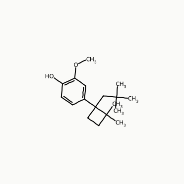 COc1cc(C2(CC(C)(C)C)CCC2(C)C)ccc1O